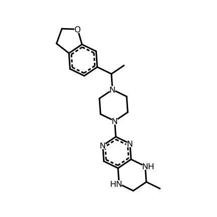 CC1CNc2cnc(N3CCN(C(C)c4ccc5c(c4)OCC5)CC3)nc2N1